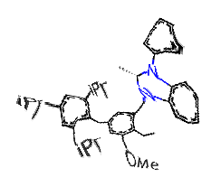 COc1cc(-c2c(C(C)C)cc(C(C)C)cc2C(C)C)cc(N2c3ccccc3N(c3ccccc3)[C@H]2C)c1C